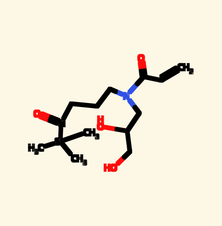 C=CC(=O)N(CCC[Si](=O)[Si](C)(C)C)CC(O)CO